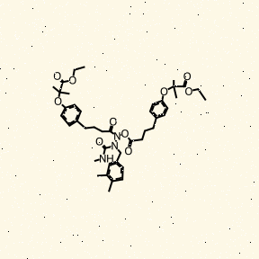 CCOC(=O)C(C)(C)Oc1ccc(CCCC(=O)ON(C(=O)CCCc2ccc(OC(C)(C)C(=O)OCC)cc2)N(Cc2ccc(C)c(C)c2)C(=O)NC)cc1